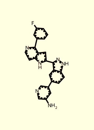 Nc1cncc(-c2ccc3[nH]nc(-c4cc5c(-c6cccc(F)c6)nccc5[nH]4)c3c2)c1